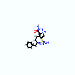 CNC(=O)c1c2c(cn1C)S(=N)NC(Cc1ccccc1)CC2